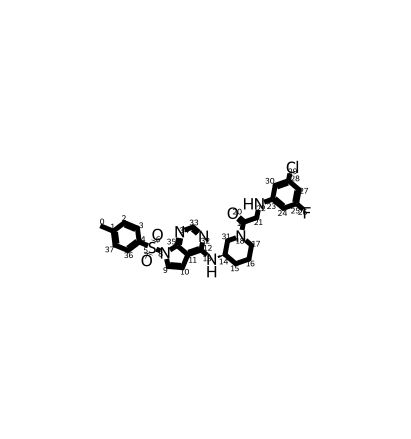 Cc1ccc(S(=O)(=O)n2ccc3c(N[C@H]4CCCN(C(=O)CNc5cc(F)cc(Cl)c5)C4)ncnc32)cc1